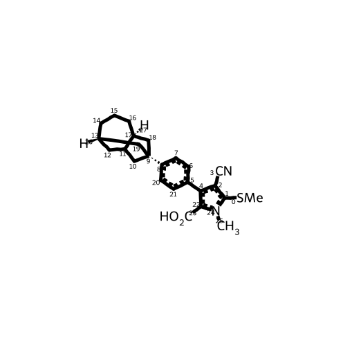 CSc1c(C#N)c(-c2ccc([C@@]34CC5C[C@H](CCC[C@H]5C3)C4)cc2)c(C(=O)O)n1C